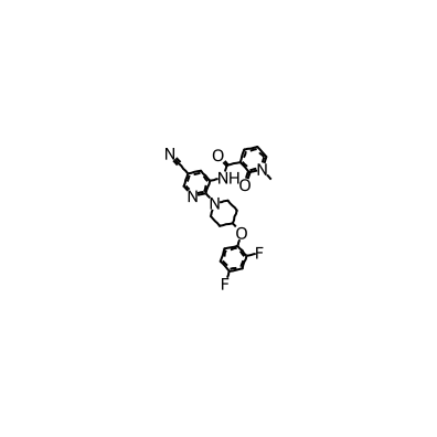 Cn1cccc(C(=O)Nc2cc(C#N)cnc2N2CCC(Oc3ccc(F)cc3F)CC2)c1=O